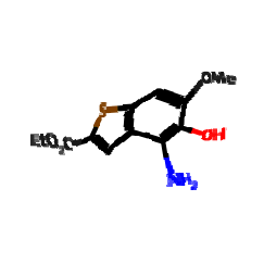 CCOC(=O)c1cc2c(N)c(O)c(OC)cc2s1